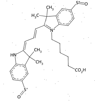 CC1(C)C(/C=C/C=C2/Nc3ccc([S+]=O)cc3C2(C)C)=[N+](CCCCCC(=O)O)c2ccc([S+]=O)cc21